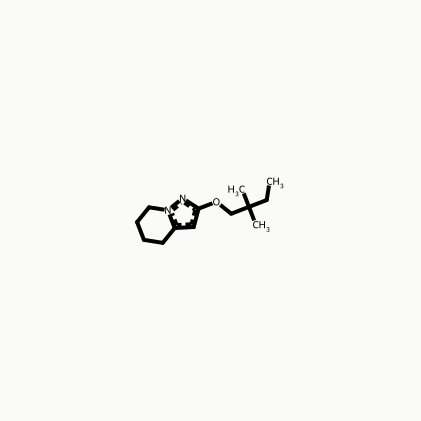 CCC(C)(C)COc1cc2n(n1)CCCC2